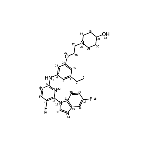 CCc1cc(Nc2ncc(F)c(-n3cnc4cc(F)ccc43)n2)cc(OCCN2CCC(O)CC2)c1